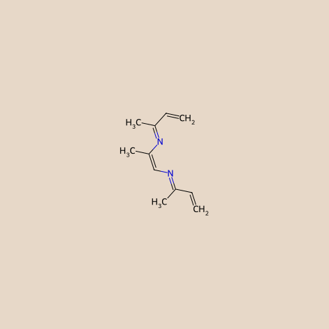 C=C/C(C)=N/C=C(C)\N=C(/C)C=C